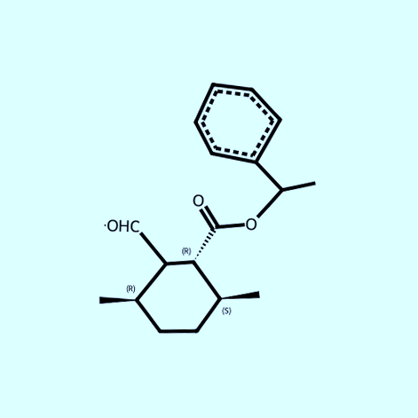 CC(OC(=O)[C@H]1C([C]=O)[C@H](C)CC[C@@H]1C)c1ccccc1